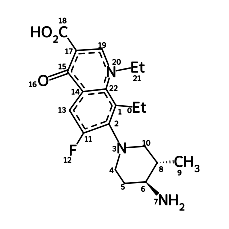 CCc1c(N2CC[C@H](N)[C@@H](C)C2)c(F)cc2c(=O)c(C(=O)O)cn(CC)c12